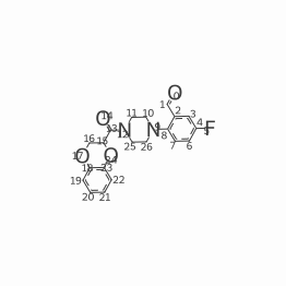 O=Cc1cc(F)ccc1N1CCN(C(=O)C2COc3ccccc3O2)CC1